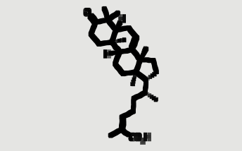 C/C(=C/CC[C@@H](C)[C@H]1CC[C@@]2(C)C3=CC[C@H]4C(C)(C)C(=O)CC[C@]4(C)[C@H]3CC[C@]12C)C(=O)O